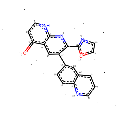 O=c1cc[nH]c2nc(-c3ncco3)c(-c3ccc4ncccc4c3)cc12